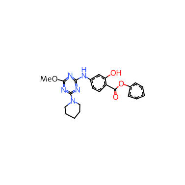 COc1nc(Nc2ccc(C(=O)Oc3ccccc3)c(O)c2)nc(N2CCCCC2)n1